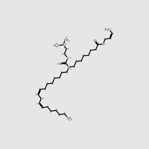 C/C=C\COC(=O)CCCCCCCN(CCCCCCC/C=C\C/C=C\CCCCCC)C(=O)SCCN(C)C